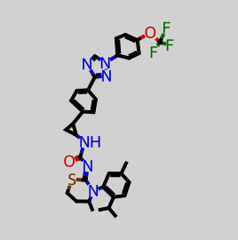 Cc1ccc(C(C)C)c(N2/C(=N/C(=O)NC3CC3c3ccc(-c4ncn(-c5ccc(OC(F)(F)F)cc5)n4)cc3)SCCC2C)c1